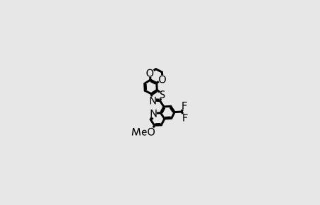 COc1cnc2c(-c3nc4ccc5c(c4s3)OCCO5)cc(C(F)F)cc2c1